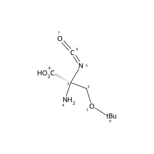 CC(C)(C)OC[C@@](N)(N=C=O)C(=O)O